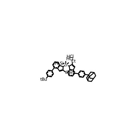 CCCC(C)C1=Cc2c(-c3ccc(C(C)(C)C)cc3)cccc2[CH]1[Zr]([CH3])([CH3])(=[SiH2])[CH]1C(CC)=Cc2c(-c3ccc(C45CC6CC(CC(C6)C4)C5)cc3)cccc21.Cl.Cl